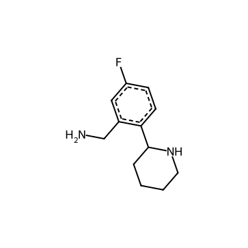 NCc1cc(F)ccc1C1CCCCN1